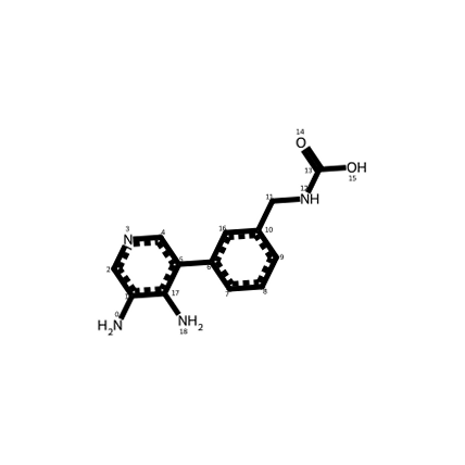 Nc1cncc(-c2cccc(CNC(=O)O)c2)c1N